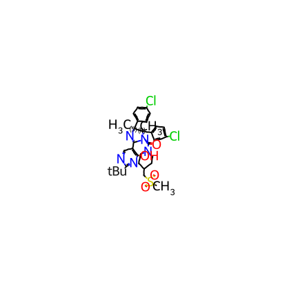 CC(C)(C)c1ncc(C2=N[C@@](C)(c3ccc(Cl)cc3)[C@@](C)(c3ccc(Cl)cc3)N2C(=O)N2CCC(CS(C)(=O)=O)CC2)c(O)n1